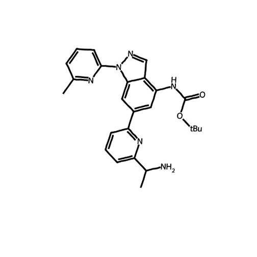 Cc1cccc(-n2ncc3c(NC(=O)OC(C)(C)C)cc(-c4cccc(C(C)N)n4)cc32)n1